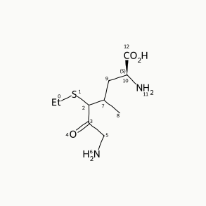 CCSC(C(=O)CN)C(C)C[C@H](N)C(=O)O